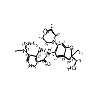 CN(N)c1cncc(C(=O)Nc2cc3c(cc2N2CCOCC2)OC(C)(CO)C3)c1N